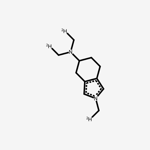 [2H]CN(C[2H])C1CCc2cn(C[2H])cc2C1